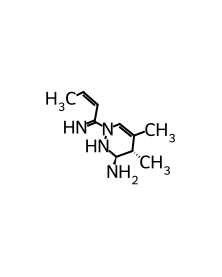 C/C=C\C(=N)N1C=C(C)[C@H](C)[C@@H](N)N1